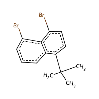 CC(C)(C)c1ccc(Br)c2c(Br)cccc12